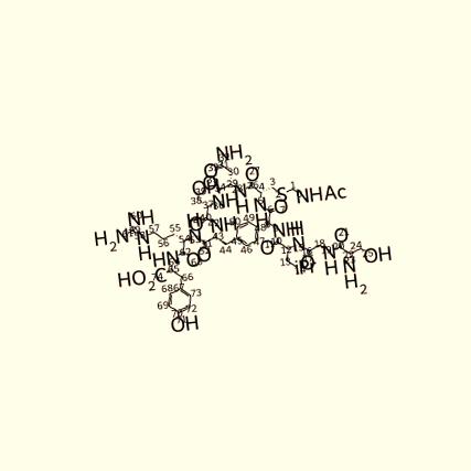 CC(=O)NCSC[C@H](NC(=O)CNC(=O)[C@H](CC(C)C)NC(=O)CNC(=O)[C@@H](N)CO)C(=O)N[C@@H](CC(N)=O)C(=O)N[C@@H](CO)C(=O)N[C@@H](Cc1ccccc1)C(=O)N[C@@H](CCCNC(=N)N)C(=O)N[C@@H](Cc1ccc(O)cc1)C(=O)O